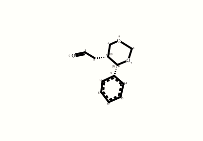 O=CC[C@@H]1COCO[C@@H]1c1ccccc1